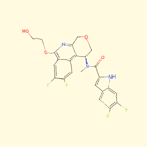 CN(C(=O)c1cc2cc(F)c(F)cc2[nH]1)[C@@H]1COCc2nc(OCCO)c3cc(F)c(F)cc3c21